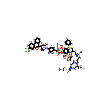 CN(CCCN1CCN(C(=O)O)CC1C(C)(C)C)CC[C@H](CSc1ccccc1)Nc1ccc(S(=O)(=O)NC(=O)c2ccc(N3CCC([C@H](O)c4ccccc4-c4ccc(Cl)cc4)CC3)cc2)cc1S(=O)(=O)C(F)(F)F